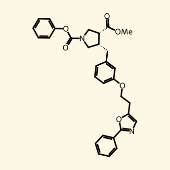 COC(=O)[C@H]1CN(C(=O)Oc2ccccc2)C[C@H]1Cc1cccc(OCCc2cnc(-c3ccccc3)o2)c1